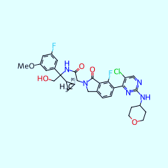 COc1cc(F)cc(C(CO)(NC(=O)[C@@H](C)N2Cc3ccc(-c4nc(NC5CCOCC5)ncc4Cl)c(F)c3C2=O)C2CC2)c1